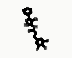 CCc1c(-c2ccncc2)n[nH]c1NC(=O)CCc1cc(F)c(Cl)c(F)c1